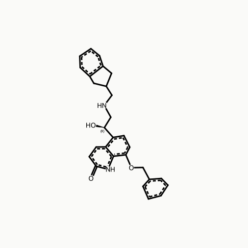 O=c1ccc2c([C@@H](O)CNCC3Cc4ccccc4C3)ccc(OCc3ccccc3)c2[nH]1